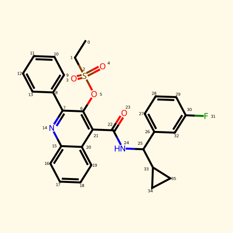 CCS(=O)(=O)Oc1c(-c2ccccc2)nc2ccccc2c1C(=O)NC(c1cccc(F)c1)C1CC1